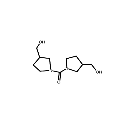 O=C(N1CCC(CO)C1)N1CCC(CO)C1